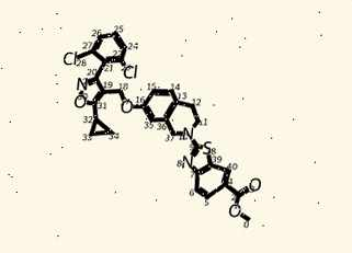 COC(=O)c1ccc2nc(N3CCc4ccc(OCc5c(-c6c(Cl)cccc6Cl)noc5C5CC5)cc4C3)sc2c1